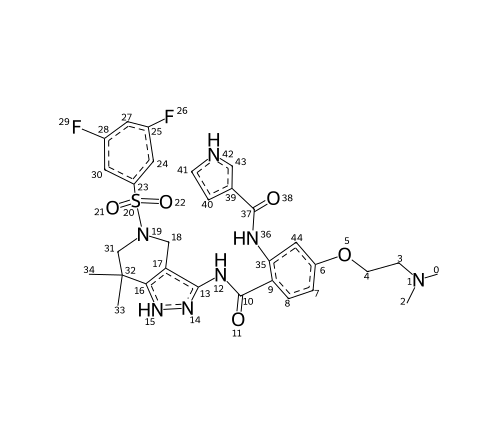 CN(C)CCOc1ccc(C(=O)Nc2n[nH]c3c2CN(S(=O)(=O)c2cc(F)cc(F)c2)CC3(C)C)c(NC(=O)c2cc[nH]c2)c1